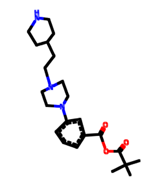 CC(C)(C)C(=O)OC(=O)c1cccc(N2CCN(CCC3CCNCC3)CC2)c1